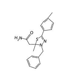 Cc1ccc(C2=NN(Cc3ccccc3)C(C)(CC(N)=O)S2)cc1